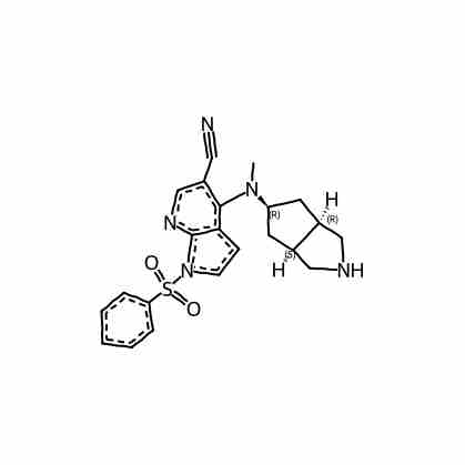 CN(c1c(C#N)cnc2c1ccn2S(=O)(=O)c1ccccc1)[C@H]1C[C@H]2CNC[C@H]2C1